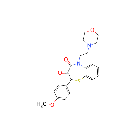 COc1ccc(C2Sc3ccccc3N(CCN3CCOCC3)C(=O)C2=O)cc1